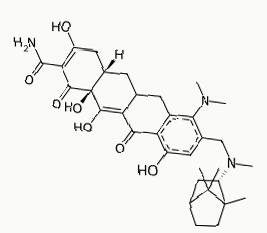 CN(C)c1c(CN(C)[C@H]2CC3CCC2(C)C3(C)C)cc(O)c2c1CC1C[C@H]3CC(O)=C(C(N)=O)C(=O)[C@@]3(O)C(O)=C1C2=O